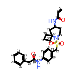 C=CC(=O)NC1CCN(S(=O)(=O)Cc2ccc(NC(=O)Cc3ccccc3)cc2)C2(CCC2)C1